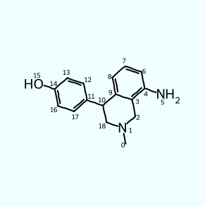 CN1Cc2c(N)cccc2C(c2ccc(O)cc2)C1